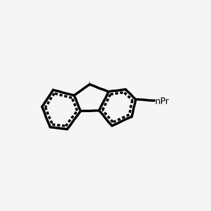 CCCc1ccc2c(c1)[CH]c1ccccc1-2